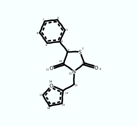 O=C1SC(c2ccccc2)C(=O)N1Cc1ccco1